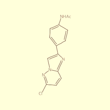 CC(=O)Nc1ccc(-c2cn3nc(Cl)ccc3n2)cc1